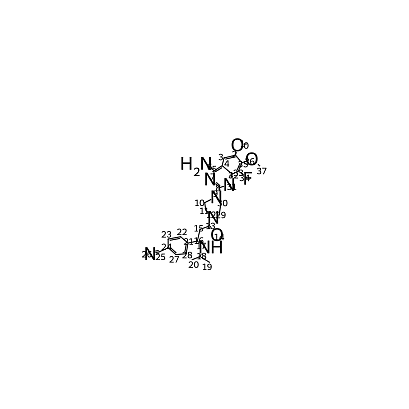 COc1cc2c(N)nc(N3CCN(C(=O)CC(NC(C)C)c4ccc(C#N)cc4)CC3)nc2c(F)c1OC